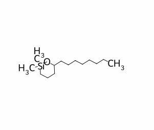 CCCCCCCCC1CCC[Si](C)(C)O1